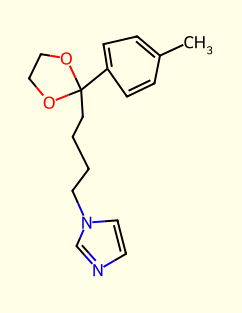 Cc1ccc(C2(CCCCn3ccnc3)OCCO2)cc1